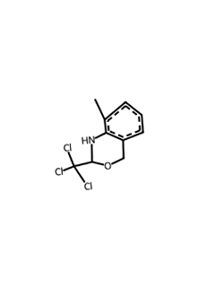 Cc1cccc2c1NC(C(Cl)(Cl)Cl)OC2